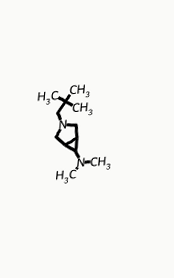 CN(C)C1C2CN(CC(C)(C)C)CC21